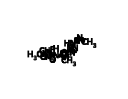 Cc1c(CNC(=O)c2nn(C(C)(C)C)cc2F)ccc(-c2ncnc(Nc3cnn(C)c3)n2)c1F